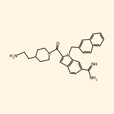 N=C(N)c1ccc2cc(C(=O)N3CCC(CCN)CC3)n(Cc3ccc4ccccc4c3)c2c1